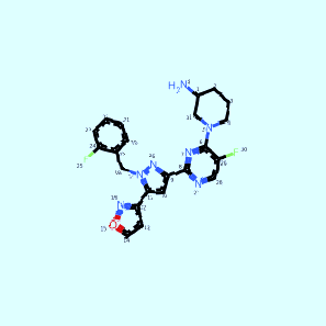 NC1CCCN(c2nc(-c3cc(-c4ccon4)n(Cc4ccccc4F)n3)ncc2F)C1